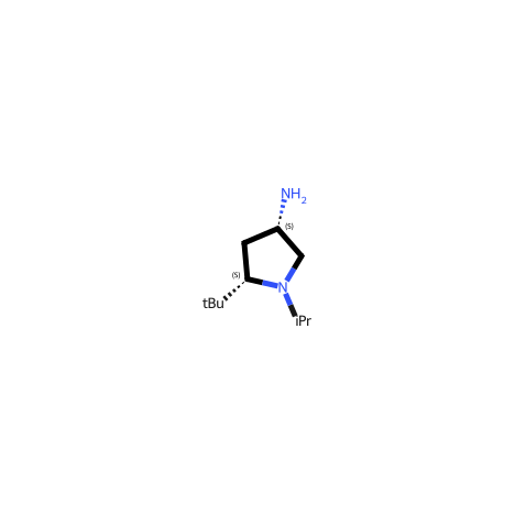 CC(C)N1C[C@@H](N)C[C@H]1C(C)(C)C